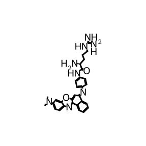 CN(C)c1ccc2nc3c4ccccc4c(=Nc4ccc(NC(=O)[C@@H](N)CCCNC(=N)N)cc4)cc-3oc2c1